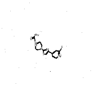 CC(C)(C)C(=O)N1CCN(c2nc(-c3ccnc(F)c3)cs2)CC1